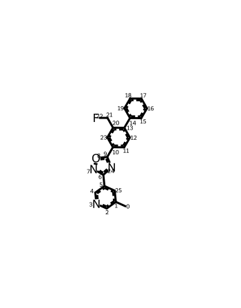 Cc1cncc(-c2noc(-c3ccc(-c4ccccc4)c(CF)c3)n2)c1